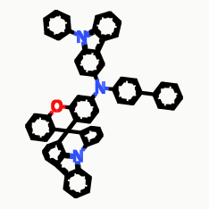 c1ccc(-c2ccc(N(c3ccc4c(c3)Oc3ccccc3C43c4ccccc4-n4c5ccccc5c5cccc3c54)c3ccc4c(c3)c3ccccc3n4-c3ccccc3)cc2)cc1